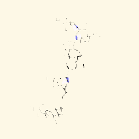 COC1(C)CN(CCCN/C=C(\C=N)c2cnc3ccc(N/C(N)=C/C(=C\N)C(C)C)nc3c2)C1